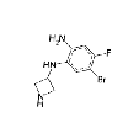 Nc1cc(F)c(Br)cc1NC1CNC1